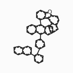 c1ccc(-c2ccc3ccccc3c2)c(-c2ccc(-c3c4ccccc4c(-c4cccc5oc6ccc7ccccc7c6c45)c4ccccc34)cc2)c1